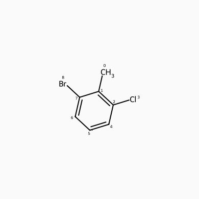 Cc1c(Cl)c[c]cc1Br